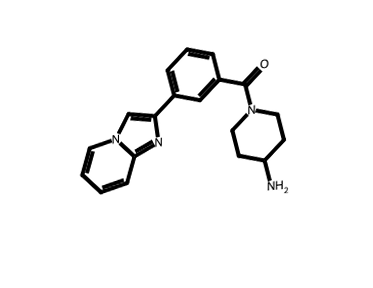 NC1CCN(C(=O)c2cccc(-c3cn4ccccc4n3)c2)CC1